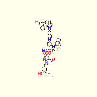 CC(C)c1ccccc1[C@H]1CCCN1C1CC2(CCN(c3ccc(C(=O)NS(=O)(=O)c4cnc(NCC5CCC(C)(O)CC5)c(N=O)c4)c(N4CCCOc5nc6c(cc54)C=CC6)c3)CC2)C1